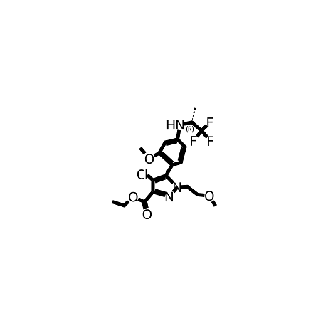 CCOC(=O)c1nn(CCOC)c(-c2ccc(N[C@H](C)C(F)(F)F)cc2OC)c1Cl